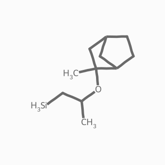 CC(C[SiH3])OC1(C)CC2CCC1C2